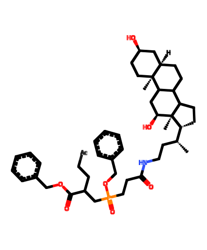 CC(=O)CCC(CP(=O)(CCC(=O)NCC[C@@H](C)[C@H]1CCC2C3CC[C@@H]4C[C@H](O)CC[C@]4(C)C3C[C@H](O)[C@@]21C)OCc1ccccc1)C(=O)OCc1ccccc1